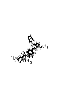 CCn1ncc2c(N3CC4CCC(C3)O4)nc(-c3ccc(NC(=O)C(N)CC(N)=O)cc3)nc21